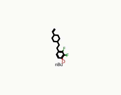 C=CC1CCC(CCc2ccc(OCCCC)c(F)c2F)CC1